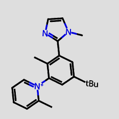 Cc1c(-c2nccn2C)cc(C(C)(C)C)cc1-[n+]1ccccc1C